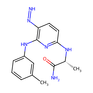 Cc1cccc(Nc2nc(N[C@H](C)C(N)=O)ccc2N=N)c1